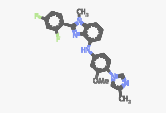 COc1cc(Nc2cccc3c2nc(-c2ccc(F)cc2F)n3C)ccc1-n1cnc(C)c1